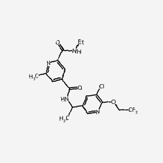 CCNC(=O)c1cc(C(=O)NC(C)c2cnc(OCC(F)(F)F)c(Cl)c2)cc(C)n1